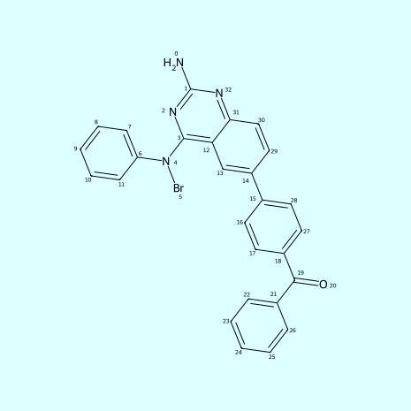 Nc1nc(N(Br)c2ccccc2)c2cc(-c3ccc(C(=O)c4ccccc4)cc3)ccc2n1